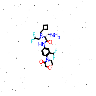 NC[C@H](C(=O)Nc1ccc(N2CCOCC2=O)c(C(F)F)c1)N(CC(F)F)CC1CCC1